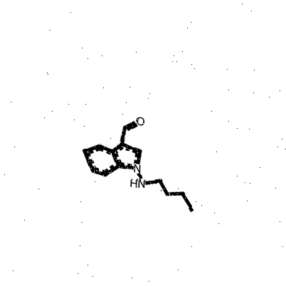 CCCCNn1cc(C=O)c2ccccc21